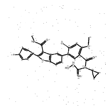 CNC(=O)c1c(-c2ccc(F)cc2)oc2ccc(-c3cc(C(=O)N(C(=N)NO)C4CC4)c(OC)cc3Cl)cc12